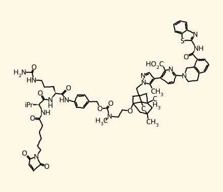 Cc1c(-c2ccc(N3CCc4cccc(C(=O)Nc5nc6ccccc6s5)c4C3)nc2C(=O)O)cnn1CC12CC3(C)CC4(C)CC(OCCN(C)C(=O)OCc5ccc(NC(=O)[C@H](CCCNC(N)=O)NC(=O)[C@@H](NC(=O)CCCCCN6C(=O)C=CC6=O)C(C)C)cc5)(C1)C32C4